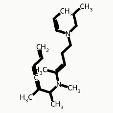 C=CC=C=C(C)C(C)N(C)/C(C)=C/CCN(/C=C\C)CCC